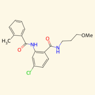 COCCCNC(=O)c1ccc(Cl)cc1NC(=O)c1ccccc1C